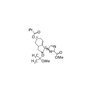 COC(=O)c1ncn([C@@H]2C3=CC[C@@H](OC(=O)C(C)C)CC3C[C@H]2OC(C)(C)OC)n1